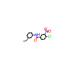 CCc1cccc(NC(=O)c2ccc(Cl)c([N+](=O)[O-])c2)c1